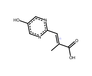 C/C(=C\c1ncc(O)cn1)C(=O)O